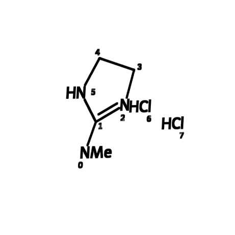 CNC1=NCCN1.Cl.Cl